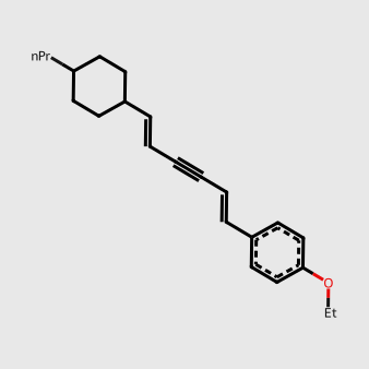 CCCC1CCC(C=CC#CC=Cc2ccc(OCC)cc2)CC1